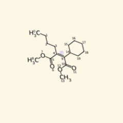 CCCC/C(C(=O)OC)=C(/C(=O)OC)C1CCCCC1